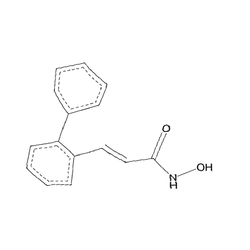 O=C(C=Cc1ccccc1-c1ccccc1)NO